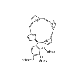 CCCCCCOc1ccc(C2=C3C=CC(=N3)C=C3C=CC(=N3)C=C3C=CC(=N3)C=C3C=CC2=N3)c(OCCCCCC)c1OCCCCCC